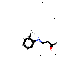 CCC(=O)CCNc1ccccc1C